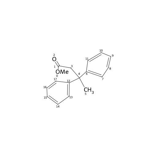 COC(=O)CC(C)(c1ccccc1)c1ccccc1